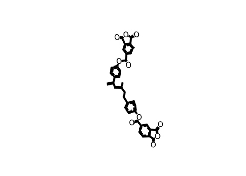 C=C(CC(C)CCc1ccc(OC(=O)c2ccc3c(c2)C(=O)OC3=O)cc1)c1ccc(OC(=O)c2ccc3c(c2)C(=O)OC3=O)cc1